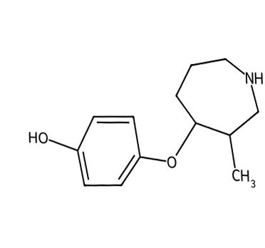 CC1CNCCCC1Oc1ccc(O)cc1